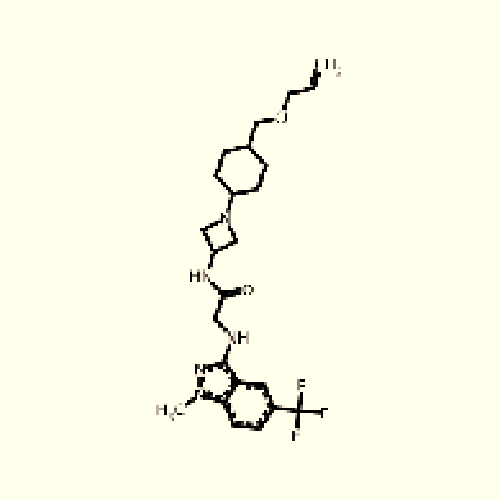 C=CCOCC1CCC(N2CC(NC(=O)CNc3nn(C)c4ccc(C(F)(F)F)cc34)C2)CC1